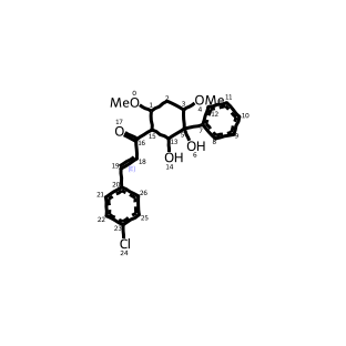 COC1CC(OC)C(O)(c2ccccc2)C(O)C1C(=O)/C=C/c1ccc(Cl)cc1